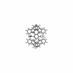 Cc1c(-n2c3ccccc3c3ccccc32)c(-n2c3ccccc3c3ccccc32)c(C#N)c(-n2c3ccccc3c3ccccc32)c1-n1c2ccccc2c2ccccc21